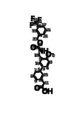 COc1ccc(-c2cccc(CC(=O)O)c2)cc1CNC(=O)OCc1cccc(C(F)(F)F)c1